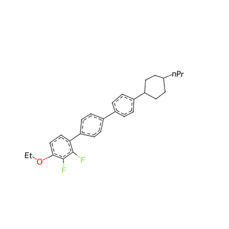 CCCC1CCC(c2ccc(-c3ccc(-c4ccc(OCC)c(F)c4F)cc3)cc2)CC1